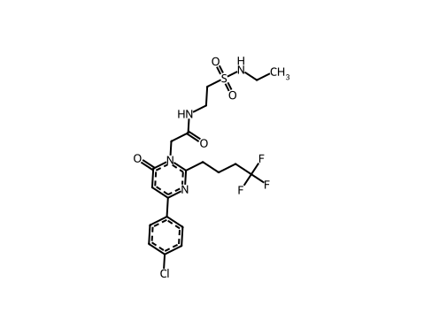 CCNS(=O)(=O)CCNC(=O)Cn1c(CCCC(F)(F)F)nc(-c2ccc(Cl)cc2)cc1=O